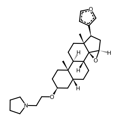 C[C@]12CC[C@H](OCCN3CCCC3)C[C@H]1CC[C@@H]1[C@@H]2CC[C@]2(C)[C@@H](c3ccoc3)C[C@H]3O[C@]132